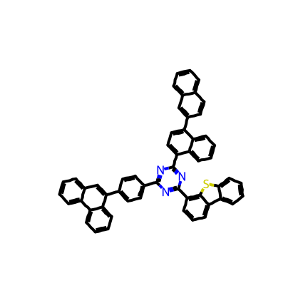 c1ccc2cc(-c3ccc(-c4nc(-c5ccc(-c6cc7ccccc7c7ccccc67)cc5)nc(-c5cccc6c5sc5ccccc56)n4)c4ccccc34)ccc2c1